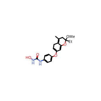 CCC1(OC)CC(C)=C2CC=C(Oc3ccc(NC(=O)NO)cc3)C=C2O1